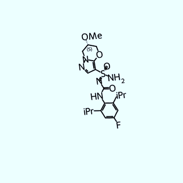 CO[C@@H]1COc2c(S(N)(=O)=NC(=O)Nc3c(C(C)C)cc(F)cc3C(C)C)cnn2C1